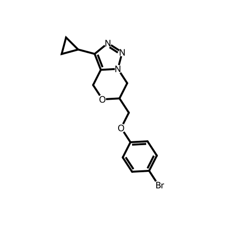 Brc1ccc(OCC2Cn3nnc(C4CC4)c3CO2)cc1